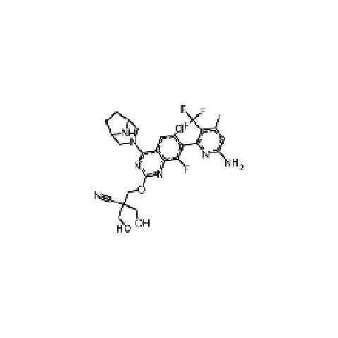 Cc1cc(N)nc(-c2c(Cl)cc3c(N4CC5CCC(C4)N5)nc(OCC(C#N)(CO)CO)nc3c2F)c1C(F)(F)F